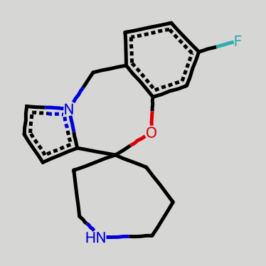 Fc1ccc2c(c1)OC1(CCCNCC1)c1cccn1C2